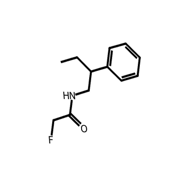 CCC(CNC(=O)CF)c1ccccc1